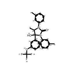 Cc1cccc(N2C(=O)N(c3cccc(C)c3)C(O)(c3cccc(OC(F)(F)F)c3)C2C)c1